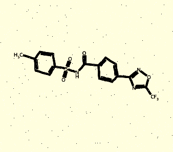 Cc1ccc(S(=O)(=O)NC(=O)c2ccc(-c3noc(C(F)(F)F)n3)cc2)cc1